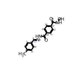 Cc1ccc(/C=N/NC(=O)c2ccc(C(=O)NO)cc2)cc1